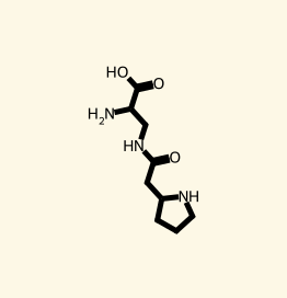 NC(CNC(=O)CC1CCCN1)C(=O)O